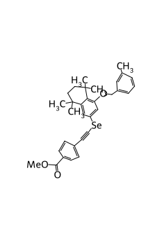 COC(=O)c1ccc(C#C[Se]c2cc(OCc3cccc(C)c3)c3c(c2)C(C)(C)CCC3(C)C)cc1